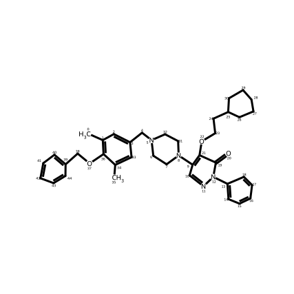 Cc1cc(CN2CCN(c3cnn(-c4ccccc4)c(=O)c3OCCC3CCCCC3)CC2)cc(C)c1OCc1ccccc1